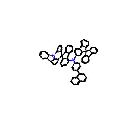 c1ccc2c(c1)-c1ccccc1C21c2ccccc2-c2ccc(N(c3ccc(-c4cccc5ccccc45)cc3)c3cccc4c3-c3ccccc3C43c4ccccc4-n4c5ccccc5c5cccc3c54)cc21